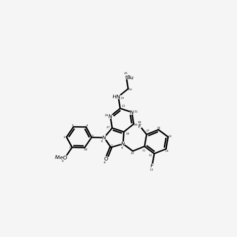 COc1cccc(-n2c(=O)n(Cc3c(F)cccc3F)c3cnc(NCC(C)(C)C)nc32)c1